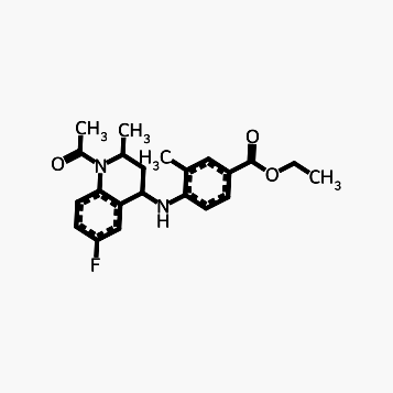 CCOC(=O)c1ccc(NC2CC(C)N(C(C)=O)c3ccc(F)cc32)c(C)c1